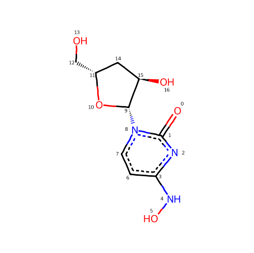 O=c1nc(NO)ccn1[C@@H]1O[C@H](CO)C[C@H]1O